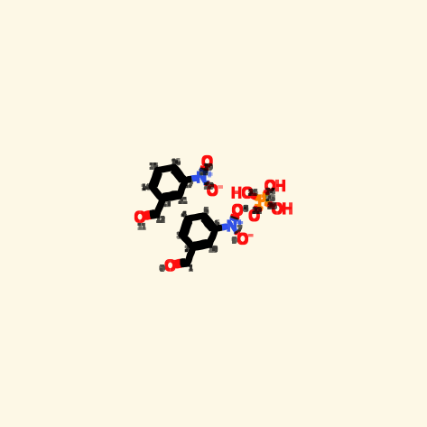 O=Cc1cccc([N+](=O)[O-])c1.O=Cc1cccc([N+](=O)[O-])c1.O=P(O)(O)O